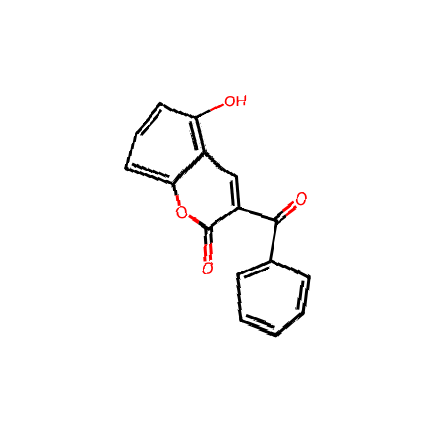 O=C(c1ccccc1)c1cc2c(O)cccc2oc1=O